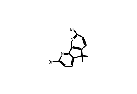 CC1(C)c2ccc(Br)nc2-c2nc(Br)ccc21